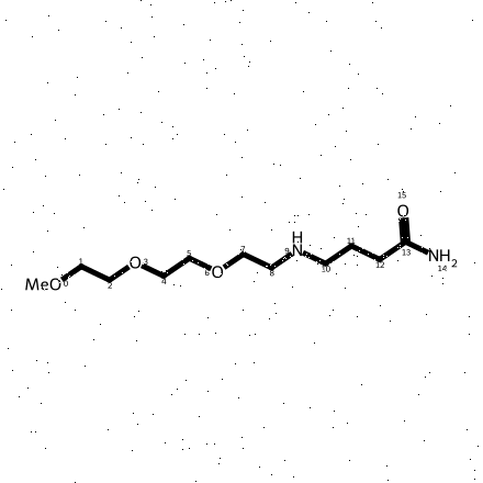 COCCOCCOCCNCCCC(N)=O